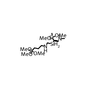 CO[Si](CCCNC[SiH2]C(=CN(C)C)[Si](C)(OC)OC)(OC)OC